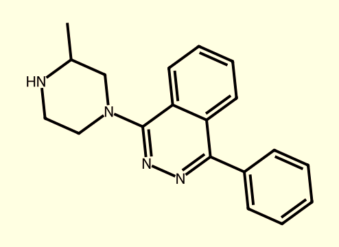 CC1CN(c2nnc(-c3ccccc3)c3ccccc23)CCN1